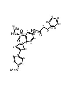 CNc1ccc(-c2ncc(-c3ccc(NC(=O)CCc4ccccc4)cc3S(=O)(=O)NC(C)(C)C)s2)cc1